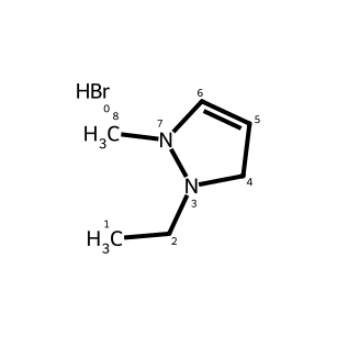 Br.CCN1CC=CN1C